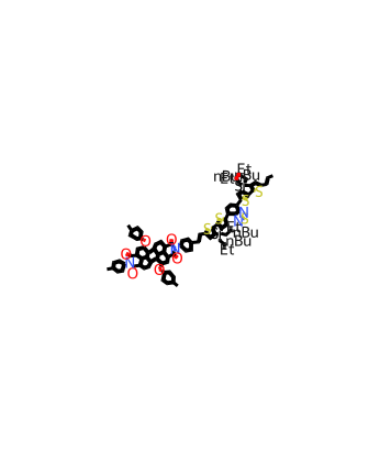 C/C=C/c1cc2c(s1)-c1sc(-c3ccc(-c4cc5c(s4)-c4sc(/C=C/c6ccc(N7C(=O)c8ccc9c%10c(Oc%11ccc(C)cc%11)cc%11c%12c(ccc(c%13c(Oc%14ccc(C)cc%14)cc(c8c9%13)C7=O)c%12%10)C(=O)N(c7ccc(C)cc7)C%11=O)cc6)cc4[Si]5(CC(CC)CCCC)CC(CC)CCCC)c4nsnc34)cc1[Si]2(CC(CC)CCCC)CC(CC)CCCC